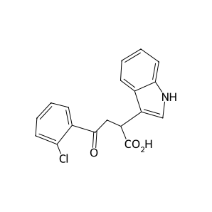 O=C(CC(C(=O)O)c1c[nH]c2ccccc12)c1ccccc1Cl